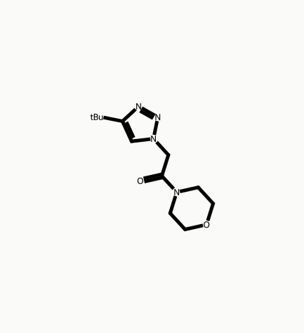 CC(C)(C)c1cn(CC(=O)N2CCOCC2)nn1